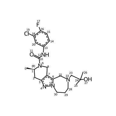 C[C@@H]1Cc2nn3c(c2CN1C(=O)Nc1ccc(F)c(Cl)c1)CN(CC(C)(C)O)CCC3